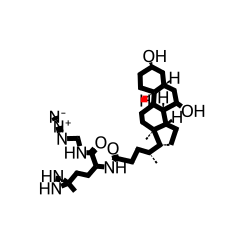 C[C@H](CCC(=O)NC(CCC1(C)NN1)C(=O)NCN=[N+]=[N-])[C@H]1CC[C@H]2[C@@H]3C(O)C[C@@H]4C[C@H](O)CC[C@]4(C)[C@H]3CC[C@]12C